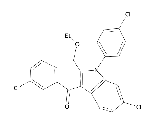 CCOCc1c(C(=O)c2cccc(Cl)c2)c2ccc(Cl)cc2n1-c1ccc(Cl)cc1